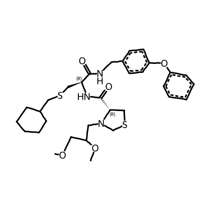 COCC(CN1CSC[C@H]1C(=O)N[C@@H](CSCC1CCCCC1)C(=O)NCc1ccc(Oc2ccccc2)cc1)OC